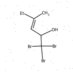 CC/C(C)=C/C(O)C(Br)(Br)Br